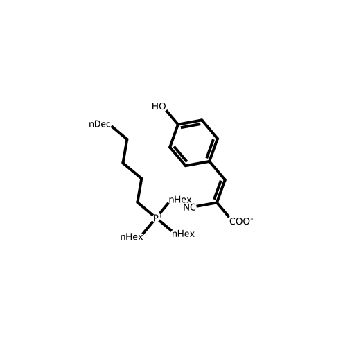 CCCCCCCCCCCCCC[P+](CCCCCC)(CCCCCC)CCCCCC.N#C/C(=C\c1ccc(O)cc1)C(=O)[O-]